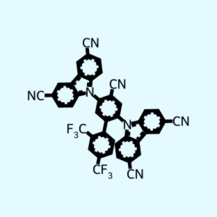 N#Cc1ccc2c(c1)c1cc(C#N)ccc1n2-c1cc(-c2ccc(C(F)(F)F)cc2C(F)(F)F)c(-n2c3ccc(C#N)cc3c3cc(C#N)ccc32)cc1C#N